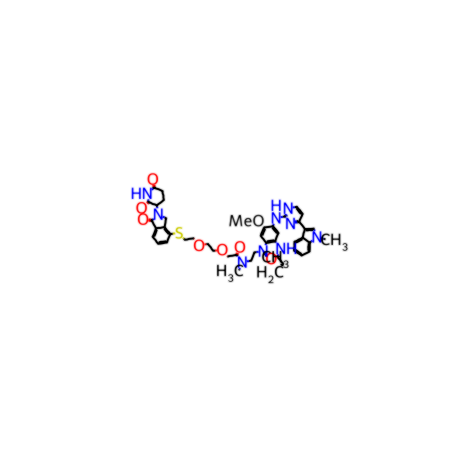 C=CC(=O)Nc1cc(Nc2nccc(-c3cn(C)c4ccccc34)n2)c(OC)cc1N(C)CCN(C)C(=O)COCCOCCSc1cccc2c1CN(C1CCC(=O)NC1=O)C2=O